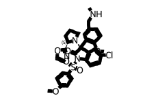 CNCc1ccc(OC)c([C@]2(N3CCC[C@H]3c3ncco3)C(=O)N(S(=O)(=O)c3ccc(OC)cc3)c3ccc(Cl)cc32)c1